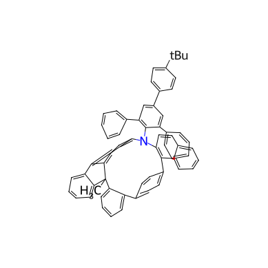 CC(C)(C)c1ccc(-c2cc(-c3ccccc3)c(N3c4ccc5c(c4)-c4ccccc4C5(C)c4ccccc4-c4ccc(cc4)-c4c3ccc3ccccc43)c(-c3ccccc3)c2)cc1